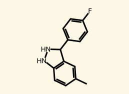 Cc1ccc2c(c1)C(c1ccc(F)cc1)NN2